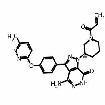 C=CC(=O)N1CCC[C@@H](n2nc(-c3ccc(Oc4ccc(C)nn4)cc3)c3c(N)n[nH]c(=O)c32)C1